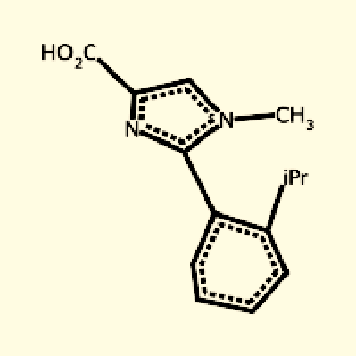 CC(C)c1ccccc1-c1nc(C(=O)O)cn1C